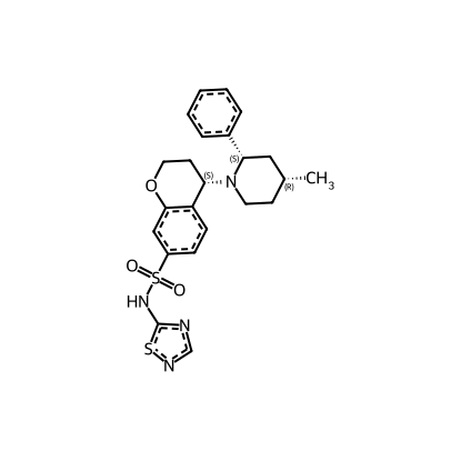 C[C@@H]1CCN([C@H]2CCOc3cc(S(=O)(=O)Nc4ncns4)ccc32)[C@H](c2ccccc2)C1